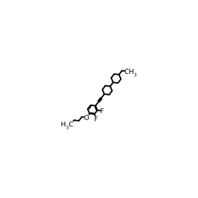 CCCCOc1ccc(C#CC2CCC(C3CCC(CC)CC3)CC2)c(F)c1F